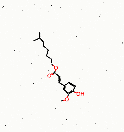 COc1cc(C=CC(=O)OCCCCCCC(C)C)ccc1O